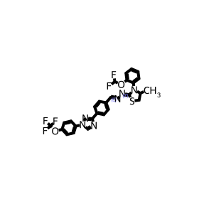 CC1CS/C(=N\N=C\c2ccc(-c3ncn(-c4ccc(OC(F)(F)F)cc4)n3)cc2)N1c1ccccc1OC(F)F